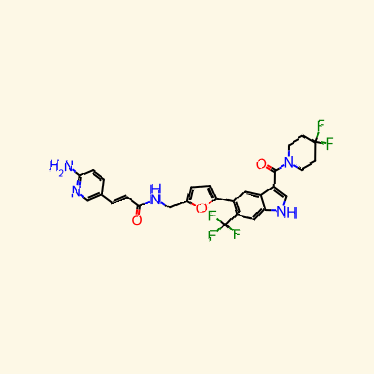 Nc1ccc(/C=C/C(=O)NCc2ccc(-c3cc4c(C(=O)N5CCC(F)(F)CC5)c[nH]c4cc3C(F)(F)F)o2)cn1